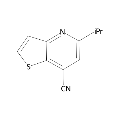 CC(C)c1cc(C#N)c2sccc2n1